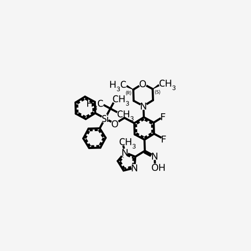 C[C@@H]1CN(c2c(CO[Si](c3ccccc3)(c3ccccc3)C(C)(C)C)cc(C(=NO)c3nccn3C)c(F)c2F)C[C@H](C)O1